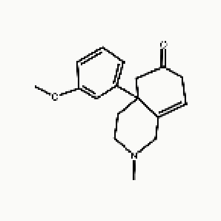 COc1cccc(C23CCN(C)CC2=CCC(=O)C3)c1